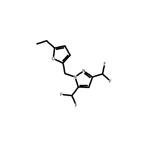 CCc1ccc(Cn2nc(C(F)F)cc2C(F)F)o1